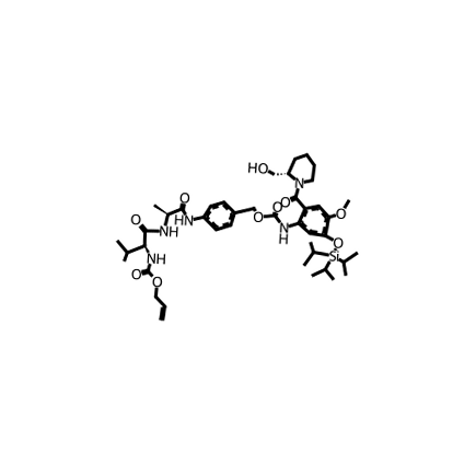 C=CCOC(=O)N[C@H](C(=O)N[C@@H](C)C(=O)Nc1ccc(COC(=O)Nc2cc(O[Si](C(C)C)(C(C)C)C(C)C)c(OC)cc2C(=O)N2CCCC[C@H]2CO)cc1)C(C)C